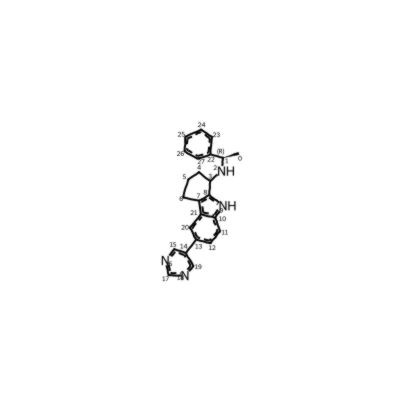 C[C@@H](NC1CCCc2c1[nH]c1ccc(-c3cncnc3)cc21)c1ccccc1